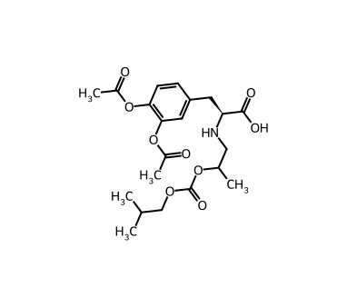 CC(=O)Oc1ccc(C[C@H](NCC(C)OC(=O)OCC(C)C)C(=O)O)cc1OC(C)=O